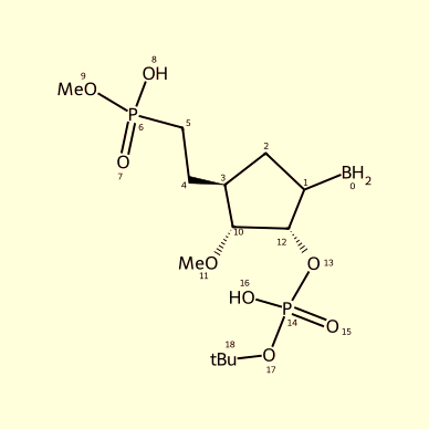 BC1C[C@H](CCP(=O)(O)OC)[C@@H](OC)[C@H]1OP(=O)(O)OC(C)(C)C